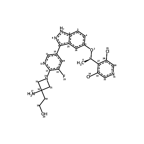 C[C@@H](Oc1ccc2[nH]nc(-c3cnc(N4CC(N)(CCO)C4)c(F)c3)c2c1)c1c(Cl)cncc1Cl